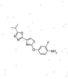 CC(C)c1nnc(-c2csc(Oc3ccc(N)c(F)c3)n2)o1